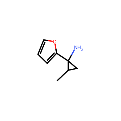 CC1CC1(N)c1ccco1